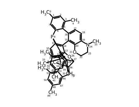 Cc1cc(C)c2c(c1)P1c3cc4c5c(c3-c3c-2ccc2c3OCCN2C)OC(c2c(C)cc(C)cc21)C1P(c2cc(C)cc(C)c2-4)c2cc(C)cc(C)c2[N+]51C